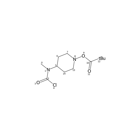 CN(C(=O)Cl)C1CCN(OC(=O)C(C)(C)C)CC1